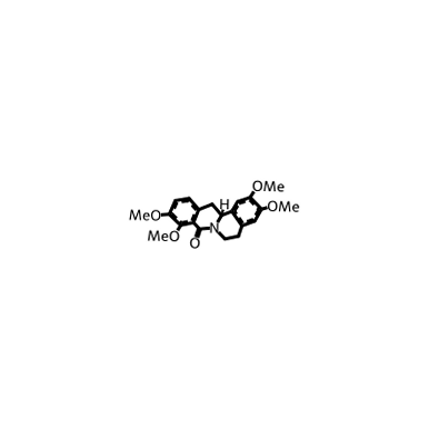 COc1cc2c(cc1OC)[C@H]1Cc3ccc(OC)c(OC)c3C(=O)N1CC2